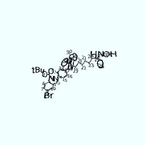 CC(C)(C)OC(=O)N1c2ccc(Br)cc2CN1c1ccc(N(CCCCCCC(=O)NO)S(C)(=O)=O)cc1